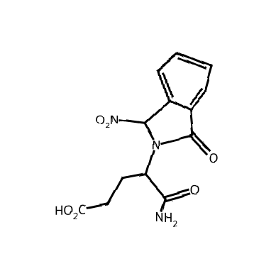 NC(=O)C(CCC(=O)O)N1C(=O)c2ccccc2C1[N+](=O)[O-]